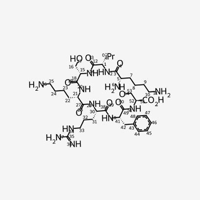 CC(C)[C@H](NC(=O)[C@@H](N)CCCCN)C(=O)N[C@@H](CO)C(=O)N[C@@H](CCCCN)C(=O)N[C@@H](CCCNC(=N)N)C(=O)N[C@@H](Cc1ccccc1)C(=O)N[C@@H](CO)C(=O)O